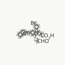 CC(C)(C=O)CCc1c(CC(C)(C)C(=O)O)n(Cc2ccc(Br)cc2)c2ccc(OCc3ccc4ccccc4n3)cc12